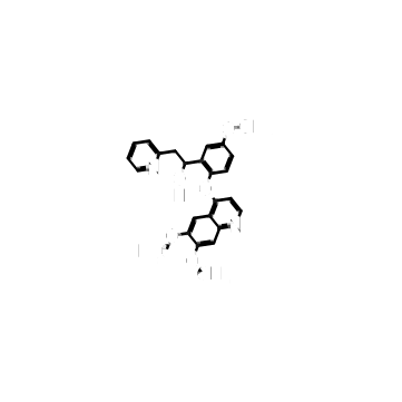 COc1ccc(Oc2ccnc3cc(OC)c(OC)cc23)c(C(O)Cc2ccccn2)c1